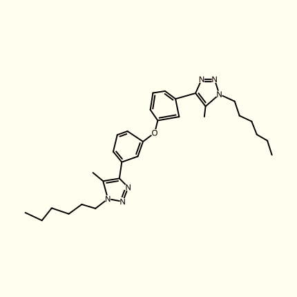 CCCCCCn1nnc(-c2cccc(Oc3cccc(-c4nnn(CCCCCC)c4C)c3)c2)c1C